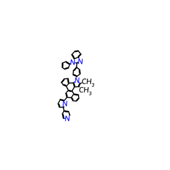 Cc1c(C)n(-c2ccc(-c3nc4ccccc4n3-c3ccccc3)cc2)c2c3ccccc3c3cc(-c4cccc(-c5ccncc5)n4)c4ccccc4c3c12